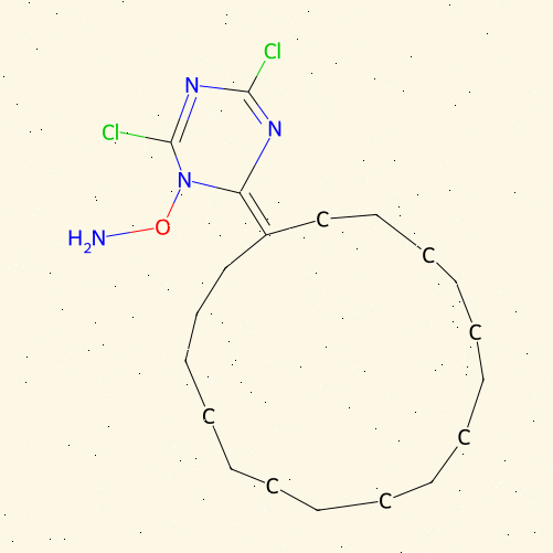 NON1C(Cl)=NC(Cl)=NC1=C1CCCCCCCCCCCCCCCC1